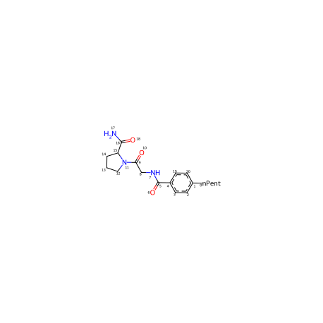 CCCCCc1ccc(C(=O)NCC(=O)N2CCCC2C(N)=O)cc1